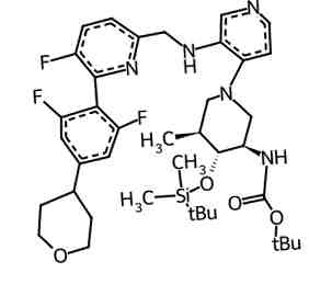 C[C@H]1CN(c2ccncc2NCc2ccc(F)c(-c3c(F)cc(C4CCOCC4)cc3F)n2)C[C@@H](NC(=O)OC(C)(C)C)[C@@H]1O[Si](C)(C)C(C)(C)C